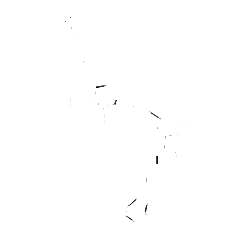 CC(NC(=O)CCC/C=C\C[C@@H]1[C@@H](/C=C/[C@@H](O)COc2cccc(C(F)(F)F)c2)[C@H](O)C[C@@H]1O)C(=O)OCCCCON(O)O